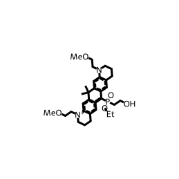 CCOP(=O)(CCO)C1=c2cc3c(cc2C(C)(C)c2cc4c(cc21)CCCN4CCOC)=[N+](CCOC)CCC3